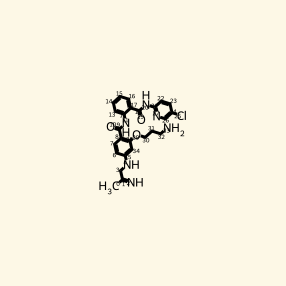 CC(=N)CNc1ccc(C(=O)Nc2ccccc2C(=O)Nc2ccc(Cl)cn2)c(OCCCN)c1